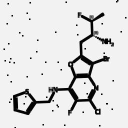 C[C@H](F)[C@H](N)Cc1oc2c(NCc3cccs3)c(F)c(Cl)nc2c1Br